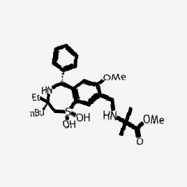 CCCC[C@]1(CC)CS(O)(O)c2cc(CNC(C)(C)C(=O)OC)c(OC)cc2[C@@H](c2ccccc2)N1